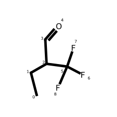 CCC(C=O)C(F)(F)F